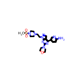 CS(=O)(=O)N1CCN(CCn2ncc3c(-c4ccc(N)nc4)nc(N4CCOCC4)nc32)CC1